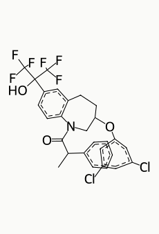 CC(C(=O)N1CC(Oc2cc(Cl)cc(Cl)c2)CCc2cc(C(O)(C(F)(F)F)C(F)(F)F)ccc21)c1ccccc1